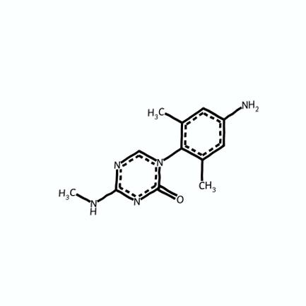 CNc1ncn(-c2c(C)cc(N)cc2C)c(=O)n1